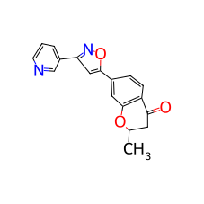 CC1CC(=O)c2ccc(-c3cc(-c4cccnc4)no3)cc2O1